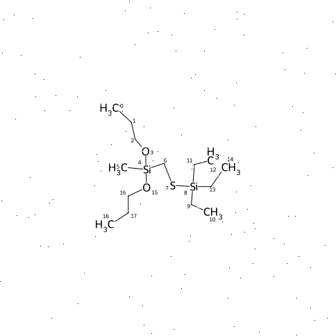 CCCO[Si](C)(CS[Si](CC)(CC)CC)OCCC